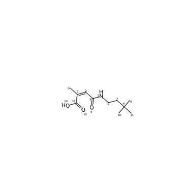 C/C(=C/C(=O)NCCC(C)(C)C)C(=O)O